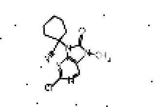 Cn1c(=O)n(C2(C#N)CCCCC2)c2nc(Cl)ncc21